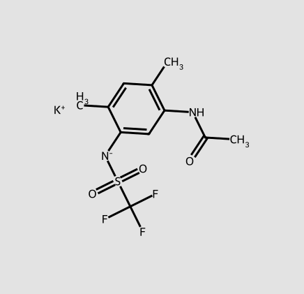 CC(=O)Nc1cc([N-]S(=O)(=O)C(F)(F)F)c(C)cc1C.[K+]